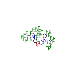 Fc1c(F)c(C(F)(F)F)c(F)c(F)c1N(c1ccc2oc3ccc(N(c4cc(C(F)(F)F)cc(C(F)(F)F)c4)c4cc(C(F)(F)F)cc(C(F)(F)F)c4)cc3c2c1)c1c(F)c(F)c(C(F)(F)F)c(F)c1F